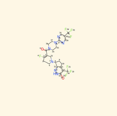 O=C(C1=C(F)CCN(C2CCc3c2n[nH]c(=O)c3C(F)(F)F)C1)N1CCN(c2ncc(C(F)(F)F)cn2)CC1